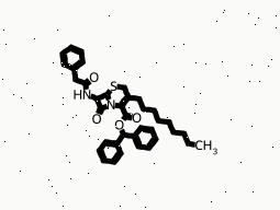 CCCCCCCCCC1=C(C(=O)OC(c2ccccc2)c2ccccc2)N2C(=O)C(NC(=O)Cc3ccccc3)C2SC1